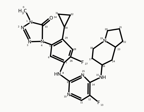 Cn1nnn(-c2cc(Nc3ncc(F)c(NC4CCN5CCCC5C4)n3)c(F)cc2C2CC2)c1=O